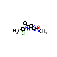 CNC(=O)c1ccc2c(n1)CCC1C2=NN(c2ccc(C)c(Cl)c2)C1C1CCCC1